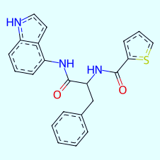 O=C(NC(Cc1ccccc1)C(=O)Nc1cccc2[nH]ccc12)c1cccs1